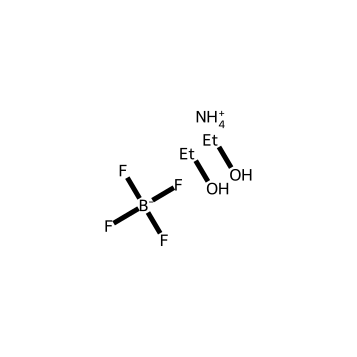 CCO.CCO.F[B-](F)(F)F.[NH4+]